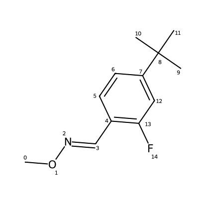 CON=Cc1ccc(C(C)(C)C)cc1F